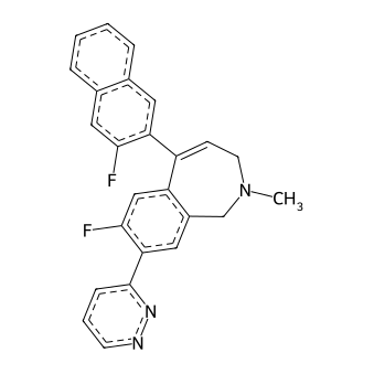 CN1CC=C(c2cc3ccccc3cc2F)c2cc(F)c(-c3cccnn3)cc2C1